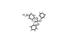 O.O=P(Oc1ccccc1)(Oc1ccccc1)Oc1ccccc1